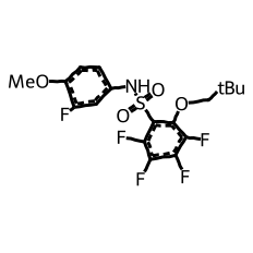 COc1ccc(NS(=O)(=O)c2c(F)c(F)c(F)c(F)c2OCC(C)(C)C)cc1F